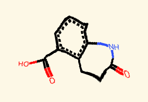 O=C1CCc2c(cccc2C(=O)O)N1